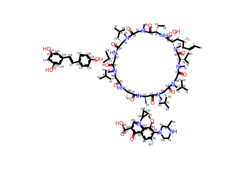 C/C=C/C[C@@H](C)[C@@H](O)[C@H]1C(=O)N[C@@H](CC)C(=O)N(C)CC(=O)N(C)[C@@H](CC(C)C)C(=O)N[C@@H](C(C)C)C(=O)N(C)[C@@H](CC(C)C)C(=O)N[C@@H](C)C(=O)N[C@H](C)C(=O)N(C)[C@@H](CC(C)C)C(=O)N(C)[C@@H](CC(C)C)C(=O)N(C)[C@@H](C(C)C)C(=O)N1C.COc1c(N2CCNC(C)C2)c(F)cc2c(=O)c(C(=O)O)cn(C3CC3)c12.Oc1ccc(/C=C/c2cc(O)cc(O)c2)cc1